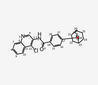 O=C(Nc1cnc2ccccc2c1Cl)c1ccc(N2CC3CCC(CC3)C2)cc1